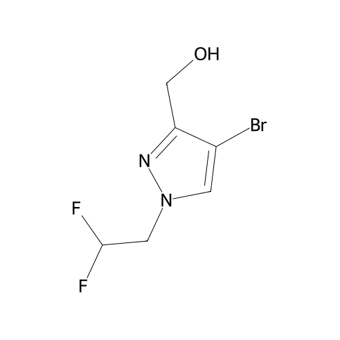 OCc1nn(CC(F)F)cc1Br